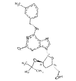 Cc1cccc(CNc2nc(Cl)nc3c2ncn3[C@@H]2O[C@H](CO)C[C@H]2OC(C)(C)O)c1